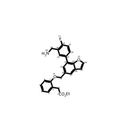 CCOC(=O)Cc1ccccc1OCc1cc(-c2ccc(F)c(CN)c2)c2occc2c1